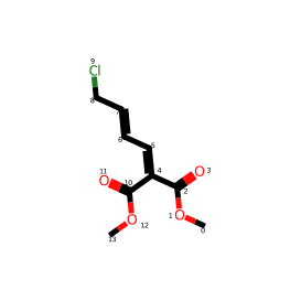 COC(=O)C(=C/C=C/CCl)C(=O)OC